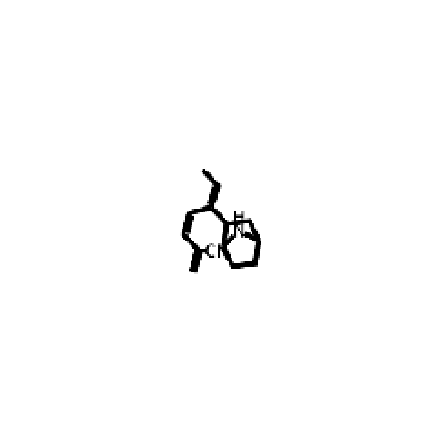 C=C(C#N)/C=C\C(=C/C)C1CC2CCC1N2